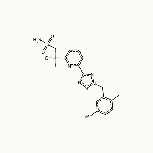 Cc1ccc(C(C)C)cc1Cn1nnc(-c2cccc(C(C)(O)CS(N)(=O)=O)n2)n1